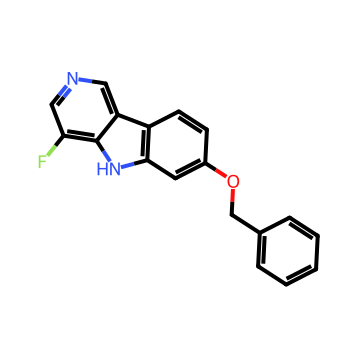 Fc1cncc2c1[nH]c1cc(OCc3ccccc3)ccc12